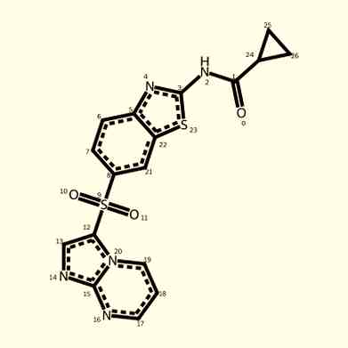 O=C(Nc1nc2ccc(S(=O)(=O)c3cnc4ncccn34)cc2s1)C1CC1